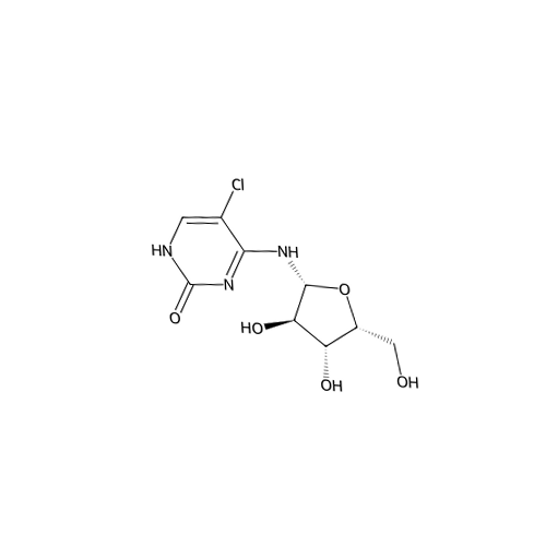 O=c1nc(N[C@@H]2O[C@H](CO)[C@H](O)[C@H]2O)c(Cl)c[nH]1